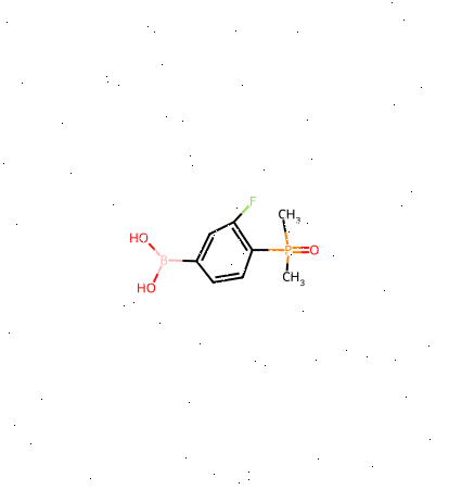 CP(C)(=O)c1ccc(B(O)O)cc1F